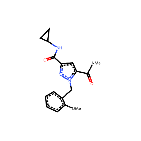 CNC(=O)c1cc(C(=O)NC2CC2)nn1Cc1ccccc1OC